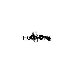 CC(C)(C)O/N=C/c1ccc(COc2c(Cl)cc(O)cc2Cl)cc1